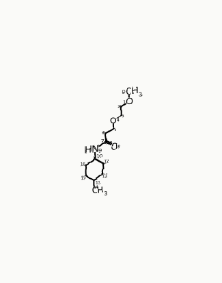 COCCOCCC(=O)NC1CCC(C)CC1